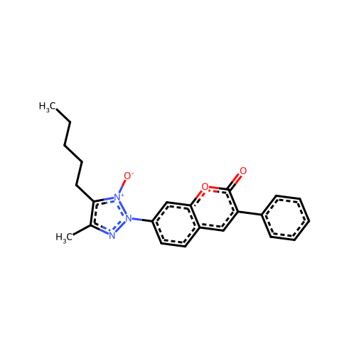 CCCCCc1c(C)nn(-c2ccc3cc(-c4ccccc4)c(=O)oc3c2)[n+]1[O-]